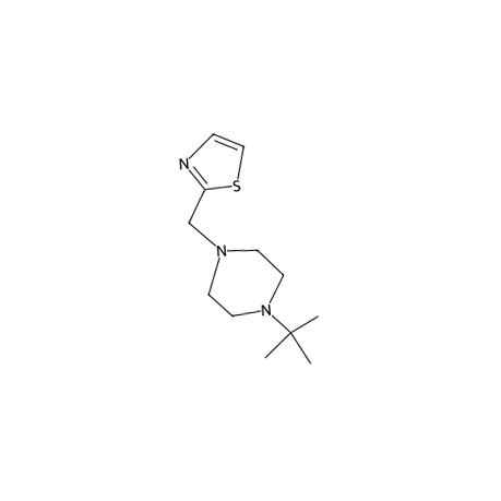 CC(C)(C)N1CCN(Cc2nccs2)CC1